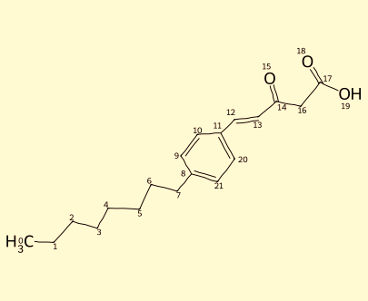 CCCCCCCCc1ccc(C=CC(=O)CC(=O)O)cc1